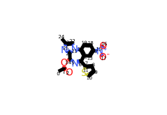 CC(=O)OC1N=C(c2cccs2)c2cc([N+](=O)[O-])ccc2-n2cc(C)nc21